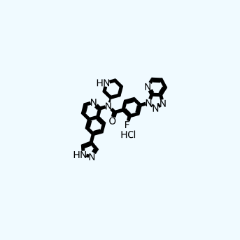 Cl.O=C(c1ccc(-n2nnc3cccnc32)cc1F)N(c1nccc2cc(-c3cn[nH]c3)ccc12)[C@@H]1CCCNC1